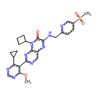 COc1ncnc(C2CC2)c1-c1ncc2nc(NCc3ccc(S(C)(=O)=O)cn3)c(=O)n(C3CCC3)c2n1